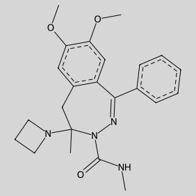 CNC(=O)N1N=C(c2ccccc2)c2cc(OC)c(OC)cc2CC1(C)N1CCC1